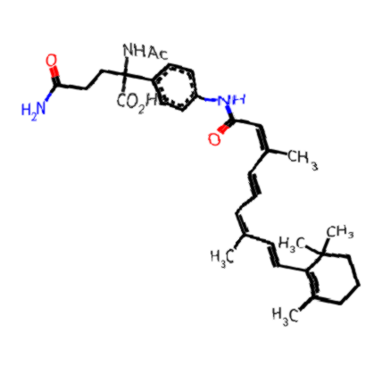 CC(=O)NC(CCC(N)=O)(C(=O)O)c1ccc(NC(=O)C=C(C)C=CC=C(C)C=CC2=C(C)CCCC2(C)C)cc1